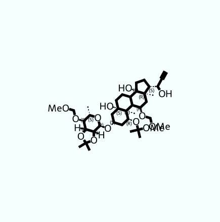 C#CC(O)[C@H]1CC[C@]2(O)C3CC[C@]4(O)C[C@@H](O[C@@H]5O[C@@H](C)[C@H](OCOC)[C@H]6OC(C)(C)O[C@@H]56)C[C@@H](OC(C)(C)OC)[C@]4(C)C3[C@H](OCOC)C[C@]12C